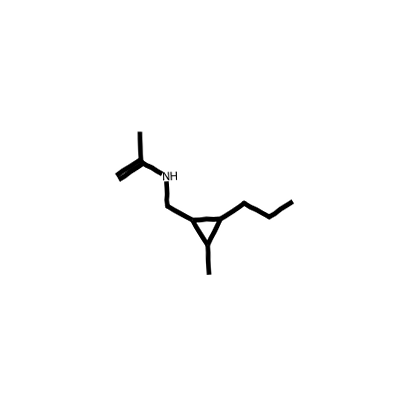 C=C(C)NCC1C(C)C1CCC